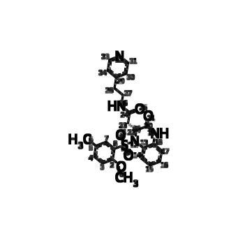 COc1ccc(C)cc1S(=O)(=O)N1c2ccccc2NC(=O)[C@H]1CC(=O)NCCc1ccncc1